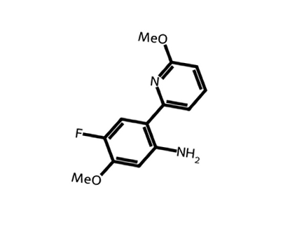 COc1cccc(-c2cc(F)c(OC)cc2N)n1